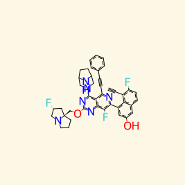 C#Cc1c(F)ccc2cc(O)cc(-c3nc(C#Cc4ccccc4)c4c(N5CC6CCC(C5)N6)nc(OC[C@@]56CCCN5C[C@H](F)C6)nc4c3F)c12